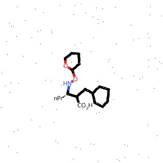 CCC[C@H](NOC1CCCCO1)C(CC1CCCCC1)C(=O)O